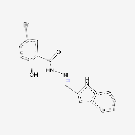 O=C(N/N=C/c1cc2ccccc2[nH]1)c1cc(Br)ccc1O